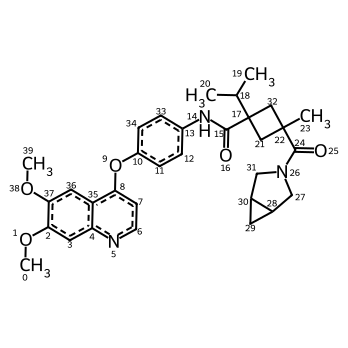 COc1cc2nccc(Oc3ccc(NC(=O)C4(C(C)C)CC(C)(C(=O)N5CC6CC6C5)C4)cc3)c2cc1OC